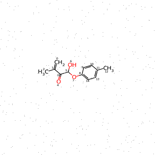 C=C(C)C(=O)C(O)Oc1ccc(C)cc1